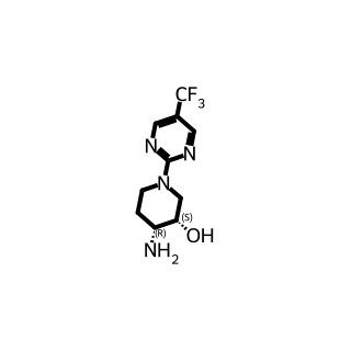 N[C@@H]1CCN(c2ncc(C(F)(F)F)cn2)C[C@@H]1O